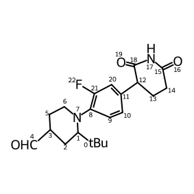 CC(C)(C)C1CC(C=O)CCN1c1ccc(C2CCC(=O)NC2=O)cc1F